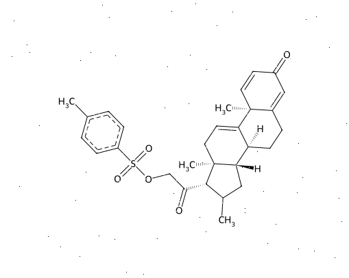 Cc1ccc(S(=O)(=O)OCC(=O)[C@H]2C(C)C[C@H]3[C@@H]4CCC5=CC(=O)C=C[C@]5(C)C4=CC[C@]23C)cc1